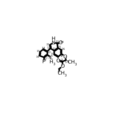 CCOC(=O)[C@@H](C)Oc1ccc2c(-c3cccc(F)c3C)c[nH]c(=O)c2c1